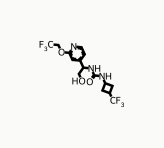 O=C(NC1CC(C(F)(F)F)C1)NC(CO)c1ccnc(OCC(F)(F)F)c1